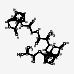 C=C(C)C(=O)Oc1c2c3oc1c(CCC(=C)C(=O)OCC(=O)Oc1c4c5oc1cc5C(=O)O4)c3C(=O)O2